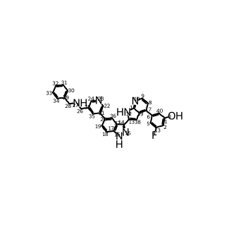 Oc1cc(F)cc(-c2ccnc3[nH]c(-c4n[nH]c5ccc(-c6cncc(CNCc7ccccc7)c6)cc45)cc23)c1